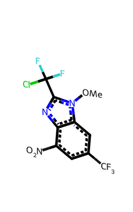 COn1c(C(F)(F)Cl)nc2c([N+](=O)[O-])cc(C(F)(F)F)cc21